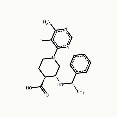 C[C@H](N[C@H]1CN(c2ncnc(N)c2F)CC[C@@H]1C(=O)O)c1ccccc1